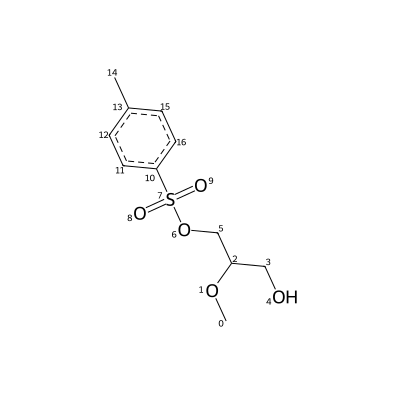 COC(CO)COS(=O)(=O)c1ccc(C)cc1